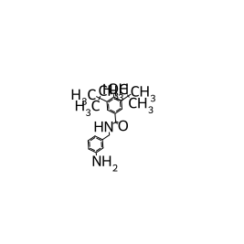 CC(C)(C)c1cc(C(=O)NCc2cccc(N)c2)cc(C(C)(C)C)c1O